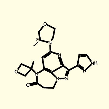 C[C@@H]1COCCN1c1cc2c3c(n1)c(-c1cc[nH]n1)nn3CCC(=O)N2C1(C)COC1